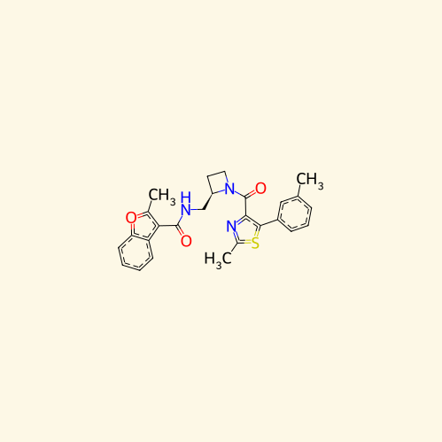 Cc1cccc(-c2sc(C)nc2C(=O)N2CC[C@@H]2CNC(=O)c2c(C)oc3ccccc23)c1